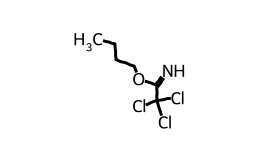 CCCCOC(=N)C(Cl)(Cl)Cl